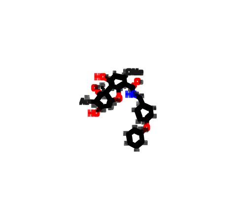 COc1cc(O)c2c(c1C(=O)NCc1ccc(Oc3ccccc3)cc1)OC1=CC(O)=C(C(C)=O)C(=O)[C@]12C